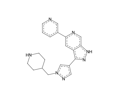 c1cncc(-c2cc3c(-c4cnn(CC5CCNCC5)c4)n[nH]c3cn2)c1